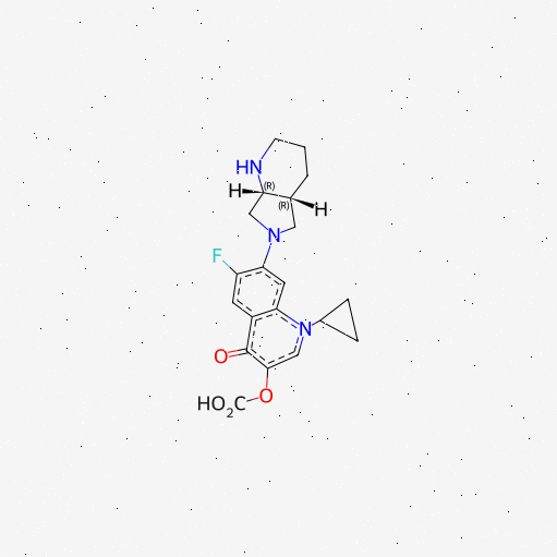 O=C(O)Oc1cn(C2CC2)c2cc(N3C[C@H]4CCCN[C@H]4C3)c(F)cc2c1=O